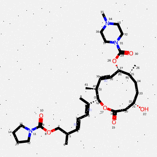 C/C(=C\C=C\C(C)COC(=O)N1CCCC1)[C@H]1OC(=O)C[C@@H](O)CC[C@@H](C)[C@@H](OC(=O)N2CCN(C)CC2)/C=C/[C@@H]1C